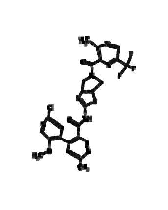 COc1cnc(Cl)cc1-c1cc(C)ncc1C(=O)Nc1nc2c(s1)CN(C(=O)c1nc(C(F)(F)F)cnc1C)C2